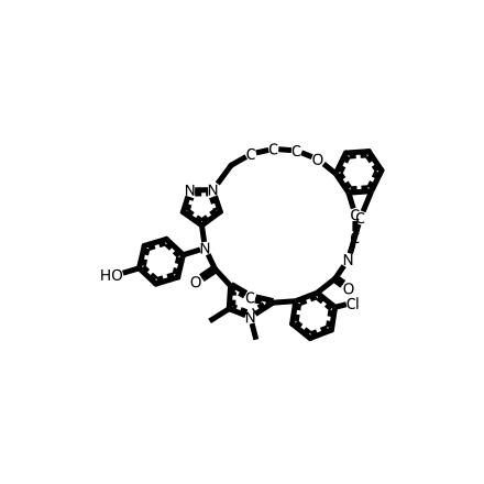 Cc1c2cc(n1C)-c1cccc(Cl)c1C(=O)N1CCc3c(cccc3OCCCCn3cc(cn3)N(c3ccc(O)cc3)C2=O)C1